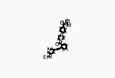 CCOc1cncc(C#Cc2ccccc2C(=O)N2CCN(c3ccc(C(=O)N(CC)CC)cc3)CC2)c1